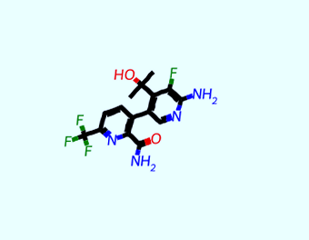 CC(C)(O)c1c(-c2ccc(C(F)(F)F)nc2C(N)=O)cnc(N)c1F